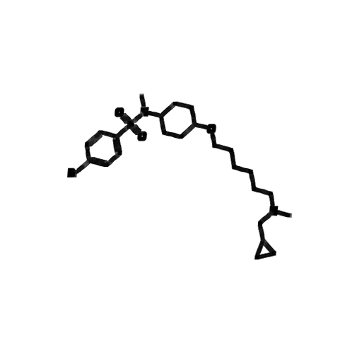 CN(CCCCCCOC1CCC(N(C)S(=O)(=O)c2ccc(Br)cc2)CC1)CC1CC1